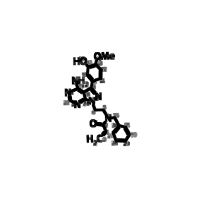 C=CC(=O)N(CCn1nc(-c2ccc(OC)c(O)c2)c2c(N)ncnc21)Cc1ccccc1